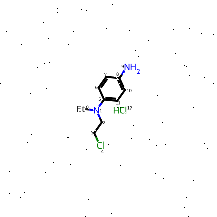 CCN(CCCl)c1ccc(N)cc1.Cl